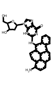 Nc1ccc2ccc3c4ccccc4c(Nc4nc(=O)c5ncn(C6CC(O)C(CO)O6)c5[nH]4)c4ccc1c2c43